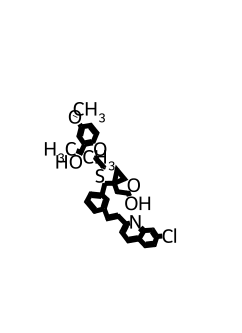 COc1ccc(OCCSC(c2cccc(/C=C/c3ccc4ccc(Cl)cc4n3)c2)C2(CC(=O)O)CC2)c(C(C)(C)O)c1